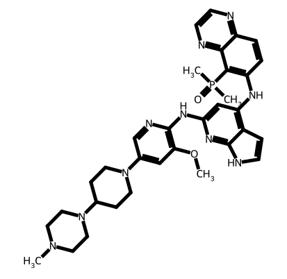 COc1cc(N2CCC(N3CCN(C)CC3)CC2)cnc1Nc1cc(Nc2ccc3nccnc3c2P(C)(C)=O)c2cc[nH]c2n1